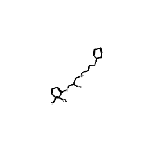 N#Cc1c(Cl)cccc1OCC(O)CNCCCCc1ccccc1